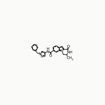 CC1Cn2c(cc3ccc(C(=O)Nc4cnn(Cc5ccccc5)c4)cc32)C(=O)N1